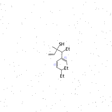 C=CC(C)(S)C(CC)C(/C=C\C(CC)CC)=C/C